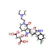 CCN(CC)CCN1CCCC2C(C=C(C=C3C(=O)Nc4ccc(F)cc43)N2C)C1=O.O=C(O)CC(O)C(=O)O